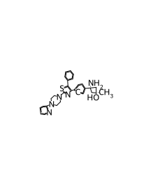 C[C@]1(O)C[C@@](N)(c2ccc(-c3nc(N4CCN(c5ccccn5)CC4)sc3-c3ccccc3)cc2)C1